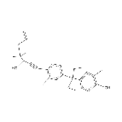 C=CCC(C)(C)C(O)C#Cc1ccc(C(CC)(CC)c2ccc(O)c(C)c2)cc1C